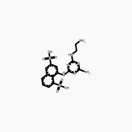 NCCNc1nc(N)nc(Nc2cc(S(=O)(=O)O)cc3cccc(S(=O)(=O)O)c23)n1